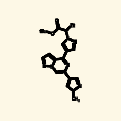 CCC(C(=O)OC(C)(C)C)n1cc(-c2nc(-c3cnn(C)c3)cn3nccc23)cn1